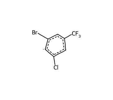 FC(F)(F)c1cc(Cl)[c]c(Br)c1